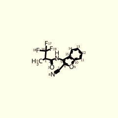 CC(C(=O)Nc1c(C#N)oc2ccccc12)C(F)(F)F